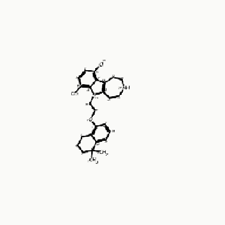 CC1(C)CCCc2c(OCCn3c4c(c5c(Cl)ccc(Cl)c53)CCNCC4)cccc21